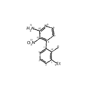 CCc1cccc(-c2ccnc(N)c2[N+](=O)[O-])c1C